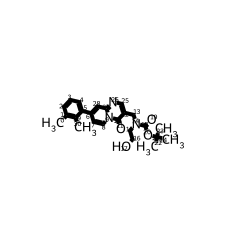 Cc1cccc(-c2ccn3c(=O)c(CN(CCO)C(=O)OC(C)(C)C)cnc3c2)c1C